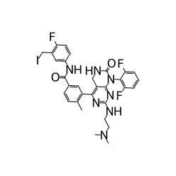 Cc1ccc(C(=O)Nc2ccc(F)c(CI)c2)cc1-c1nc(NCCN(C)C)nc2c1CNC(=O)N2c1c(F)cccc1F